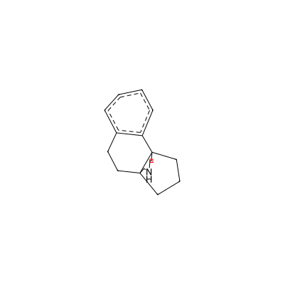 c1ccc2c(c1)CCC13CCCC21CCNC3